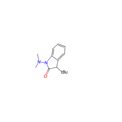 CN(C)N1C(=O)C(C(C)(C)C)c2ccccc21